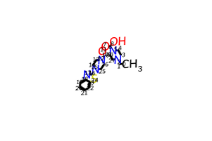 CCN1CCN(C(=O)O)[C@@H](C(=O)N2CCN(c3nc4ccccc4s3)CC2)C1